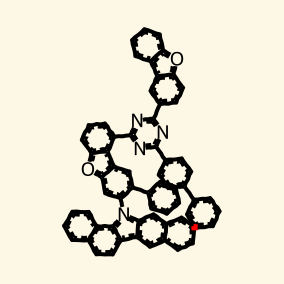 c1ccc(-c2ccc(-c3nc(-c4ccc5oc6ccccc6c5c4)nc(-c4cccc5oc6cc(-n7c8cc9ccccc9cc8c8ccc9ccccc9c87)c(-c7ccccc7)cc6c45)n3)cc2)cc1